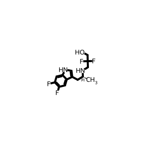 C[C@H](Cc1c[nH]c2cc(F)c(F)cc12)NCC(F)(F)CO